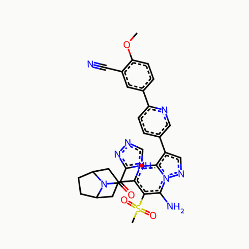 COc1ccc(-c2ccc(-c3cnn4c(N)c(S(C)(=O)=O)c(C5CC6CCC(C5)N6C(=O)c5nnc[nH]5)nc34)cn2)cc1C#N